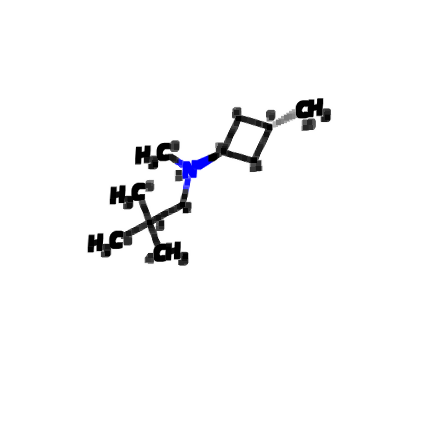 CN(CC(C)(C)C)[C@H]1C[C@H](C)C1